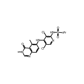 CCCS(=O)(=O)Nc1ncc(Cl)c(Nc2ccc3ncn(C)c(=O)c3c2C)c1Cl